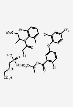 CCc1cccc(C)c1N(C(=O)CCl)C(C)COC.C[C@H](OC(=O)c1cc(Oc2ccc(C(F)(F)F)cc2Cl)ccc1Cl)C(=O)O.O=C(O)CNCP(=O)(O)O